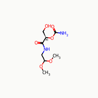 COC(CNC(=O)[C@@H](CO)OC(N)=O)OC